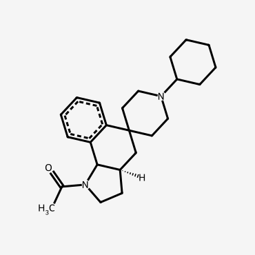 CC(=O)N1CC[C@@H]2CC3(CCN(C4CCCCC4)CC3)c3ccccc3C21